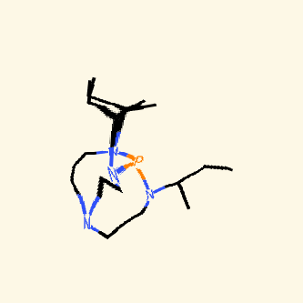 CCC(C)N1CCN2CCN(C(C)CC)P1N(C(C)CC)CC2